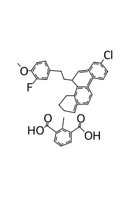 COc1ccc(CCC2C=c3cc(Cl)ccc3=c3ccc4c(c32)CCCC=4)cc1F.Cc1c(C(=O)O)cccc1C(=O)O